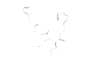 O=CSC1C(NC(=O)Cc2cccs2)C(=O)N1C(C(=O)OCc1ccccc1)=C(O)CBr